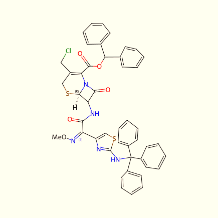 CO/N=C(\C(=O)NC1C(=O)N2C(C(=O)OC(c3ccccc3)c3ccccc3)=C(CCl)CS[C@H]12)c1csc(NC(c2ccccc2)(c2ccccc2)c2ccccc2)n1